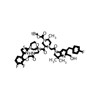 C[C@@H]1CN(CC(=O)N2CC(C)(C)c3nc(CO)c(Cc4ccc(F)cc4)cc32)[C@@H](C(=O)NCNC(=O)COc2c(-c3csc(N4CCOCC4)n3)ccc(F)c2F)CN1C(=O)OC(C)(C)C